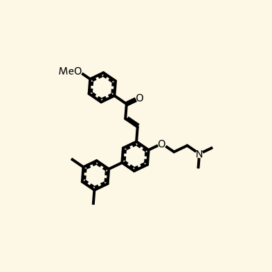 COc1ccc(C(=O)C=Cc2cc(-c3cc(C)cc(C)c3)ccc2OCCN(C)C)cc1